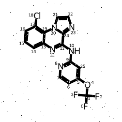 FC(F)(F)Oc1ccnc(Nc2nc3cccc(Cl)c3n3ccnc23)c1